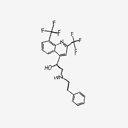 OC(CNCCc1ccccc1)c1cc(C(F)(F)F)nc2c(C(F)(F)F)cccc12